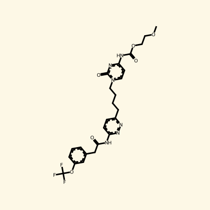 COCCOC(=O)Nc1ccn(CCCCc2ccc(NC(=O)Cc3cccc(OC(F)(F)F)c3)nn2)c(=O)n1